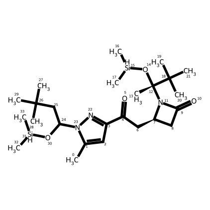 Cc1cc(C(=O)C[C@@H]2CC(=O)N2[C@](C)(O[SiH](C)C)C(C)(C)C)nn1C(CC(C)(C)C)O[SiH](C)C